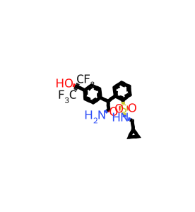 NC(=O)C(c1ccc(C(O)(C(F)(F)F)C(F)(F)F)cc1)c1ccccc1S(=O)(=O)NCC1CC1